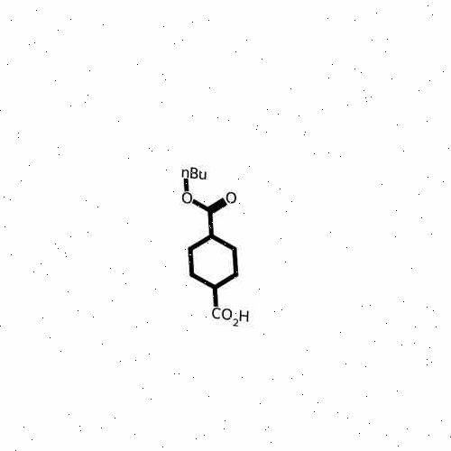 CCCCOC(=O)C1CCC(C(=O)O)CC1